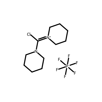 ClC(N1CCCCC1)=[N+]1CCCCC1.F[P-](F)(F)(F)(F)F